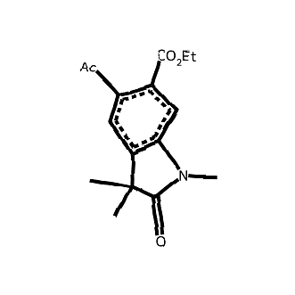 CCOC(=O)c1cc2c(cc1C(C)=O)C(C)(C)C(=O)N2C